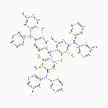 Cc1cccc(N(c2ccccc2)c2cc(Cl)c(N(c3cc(Cl)c(N(c4ccccc4)c4cccc(C)c4)cc3Cl)c3cc(Cl)c(N(c4ccccc4)c4cccc(C)c4)cc3Cl)cc2Cl)c1